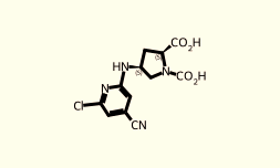 N#Cc1cc(Cl)nc(N[C@H]2C[C@@H](C(=O)O)N(C(=O)O)C2)c1